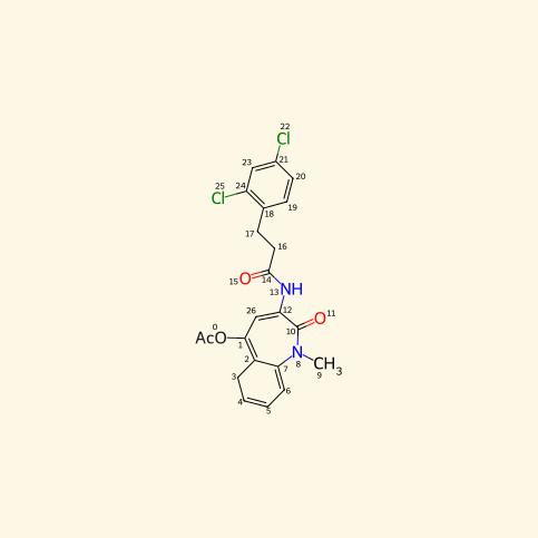 CC(=O)OC1=C2CC=CC=C2N(C)C(=O)C(NC(=O)CCc2ccc(Cl)cc2Cl)=C1